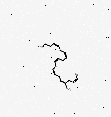 CC/C=C\C/C(=C\C/C=C\C/C=C\C/C=C\C/C=C\CC[C]=O)[N+](=O)[O-]